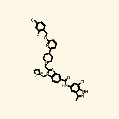 Cc1n[nH]c2c(Cl)cc(NC(=O)c3ccc4c(c3)nc(CN3CCC(c5cccc(OCc6ccc(Cl)cc6F)n5)CC3)n4C[C@@H]3CCO3)cc12